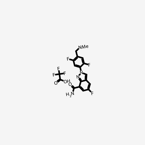 CNCc1cc(F)c(-n2cc3cc(F)cc(C(N)=O)c3n2)cc1F.O=C(O)C(F)(F)F